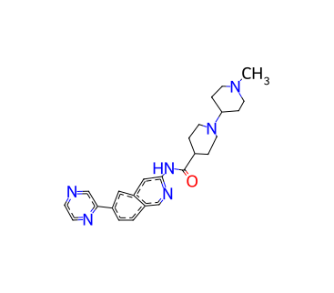 CN1CCC(N2CCC(C(=O)Nc3cc4cc(-c5cnccn5)ccc4cn3)CC2)CC1